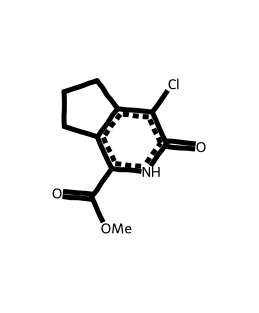 COC(=O)c1[nH]c(=O)c(Cl)c2c1CCC2